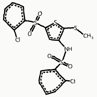 CSc1sc(S(=O)(=O)c2ccccc2Cl)cc1NS(=O)(=O)c1ccccc1Cl